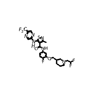 Cc1nsc(Nc2cnc(C(F)(F)F)cn2)c1C(=O)Nc1ccc(F)c(OCC2CCCN(CC(F)F)C2)c1